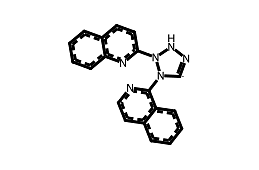 [C]1=NNN(c2ccc3ccccc3n2)N1c1nccc2ccccc12